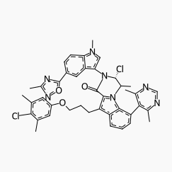 Cc1noc(-c2ccc3c(c2)c(N2C(=O)c4c(CCCOc5cc(C)c(Cl)c(C)c5)c5cccc(-c6c(C)ncnc6C)c5n4C(C)[C@H]2Cl)cn3C)n1